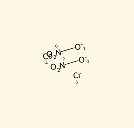 O=[N+]([O-])[O-].O=[N+]([O-])[O-].[Co].[Cr]